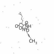 CCC#CCOc1nc2oc(=O)cc(CCCC3CC3)c2c(=O)[nH]1